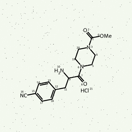 COC(=O)N1CCN(C(=O)C(N)Cc2ccc(C#N)cc2)CC1.Cl